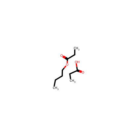 CCC(=O)O.CCCCOC(=O)CC